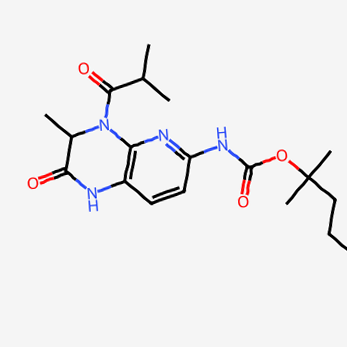 CCCC(C)(C)OC(=O)Nc1ccc2c(n1)N(C(=O)C(C)C)C(C)C(=O)N2